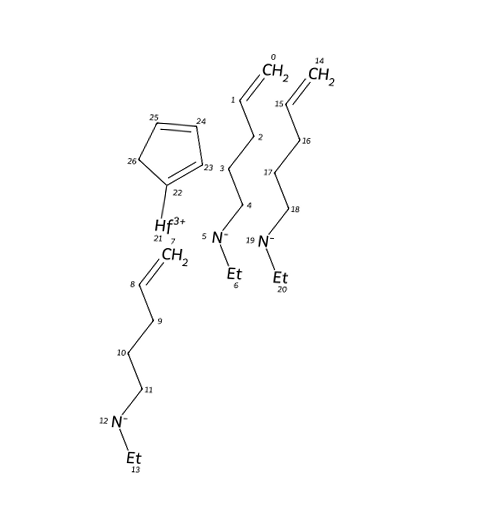 C=CCCC[N-]CC.C=CCCC[N-]CC.C=CCCC[N-]CC.[Hf+3][C]1=CC=CC1